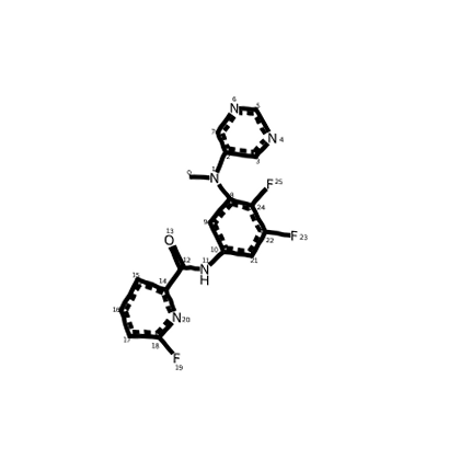 CN(c1cncnc1)c1cc(NC(=O)c2cccc(F)n2)cc(F)c1F